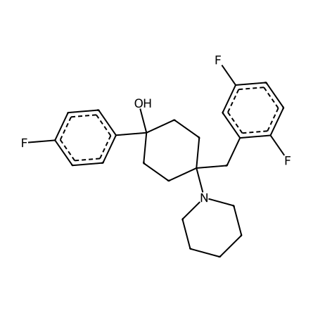 OC1(c2ccc(F)cc2)CCC(Cc2cc(F)ccc2F)(N2CCCCC2)CC1